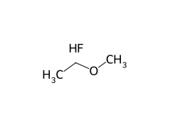 CCOC.F